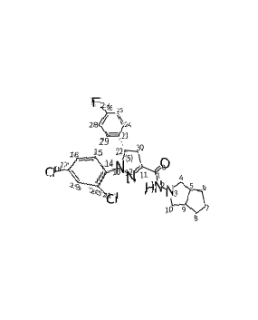 O=C(NN1CC2CCCC2C1)C1=NN(c2ccc(Cl)cc2Cl)[C@H](c2ccc(F)cc2)C1